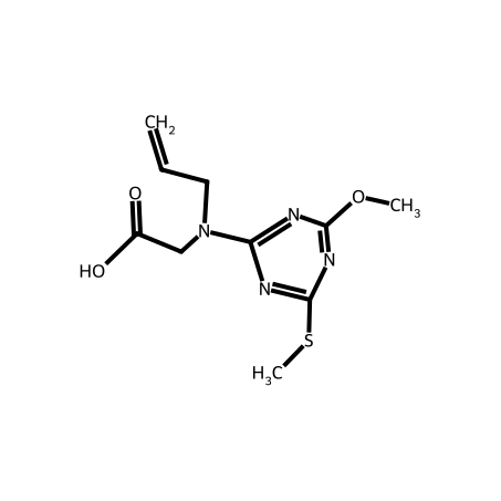 C=CCN(CC(=O)O)c1nc(OC)nc(SC)n1